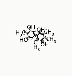 Cc1c(O)cccc1O.Cc1cc(O)c(C)c(C)c1O